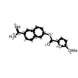 COc1ccc(C(=O)Oc2ccc3cc(C(=N)N)ccc3c2)o1